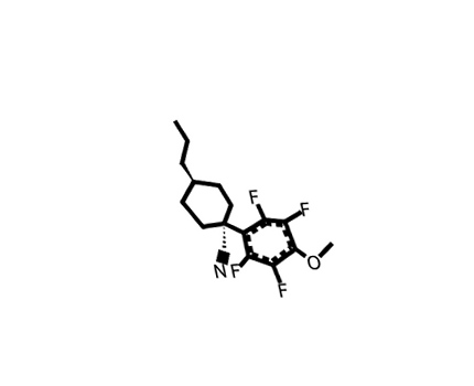 CCC[C@H]1CC[C@@](C#N)(c2c(F)c(F)c(OC)c(F)c2F)CC1